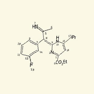 CCOC(=O)C1=N/C(=C(/C(C)=N)c2cccc(F)c2)NC(C(C)C)=C1